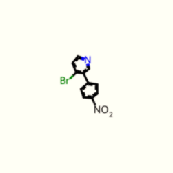 O=[N+]([O-])c1ccc(-c2cnccc2Br)cc1